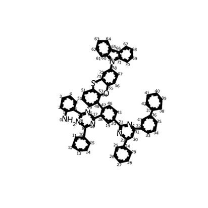 Nc1ccccc1-c1nc(-c2ccccc2)nc(-c2cc(-c3nc(-c4ccccc4)cc(-c4cccc(-c5ccccc5)c4)n3)ccc2-c2cccc3c2Oc2ccc(-n4c5ccccc5c5ccccc54)cc2S3)n1